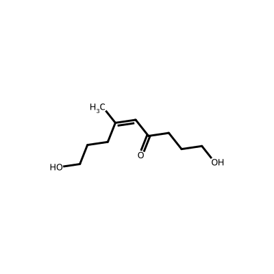 C/C(=C/C(=O)CCCO)CCCO